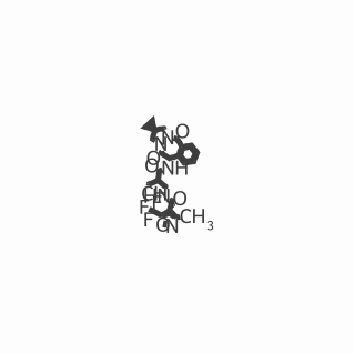 CCC(CNC(=O)c1c(C)noc1C(F)(F)F)C(=O)N[C@@H]1C(=O)N2CC3(CC3)CN2C(=O)c2ccccc21